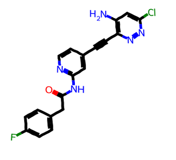 Nc1cc(Cl)nnc1C#Cc1ccnc(NC(=O)Cc2ccc(F)cc2)c1